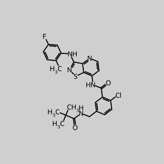 Cc1ccc(F)cc1Nc1nsc2c(NC(=O)c3cc(CNC(=O)C(C)(C)C)ccc3Cl)ccnc12